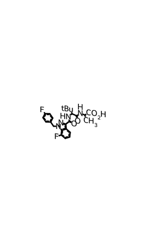 CC(NC(=O)C(NC(=O)c1nn(Cc2ccc(F)cc2)c2c(F)cccc12)C(C)(C)C)C(=O)O